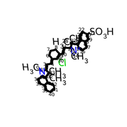 CN1/C(=C/C=C2\CCCC(/C=C/C3=[N+](C)c4ccc5cc(S(=O)(=O)O)ccc5c4C3(C)C)=C2Cl)C(C)(C)c2c1ccc1ccccc21